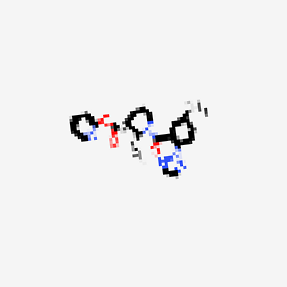 Cc1ccc(-n2nccn2)c(C(=O)N2CCC[C@@H](C(=O)Oc3ccccn3)[C@@H]2C)c1